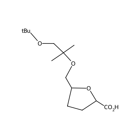 CC(C)(C)OCC(C)(C)OCC1CCC(C(=O)O)O1